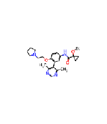 CCOC1(C(=O)Nc2ccc(OCCN3CCCC3)c(-c3c(C)ncnc3C)c2)CC1